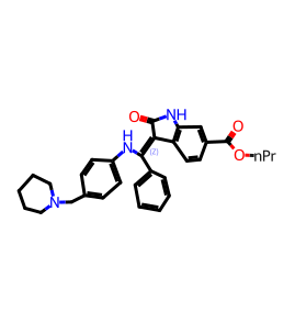 CCCOC(=O)c1ccc2c(c1)NC(=O)/C2=C(\Nc1ccc(CN2CCCCC2)cc1)c1ccccc1